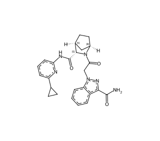 NC(=O)c1nn(CC(=O)N2[C@@H]3CC[C@@H](C3)[C@H]2C(=O)Nc2cccc(C3CC3)n2)c2ccccc12